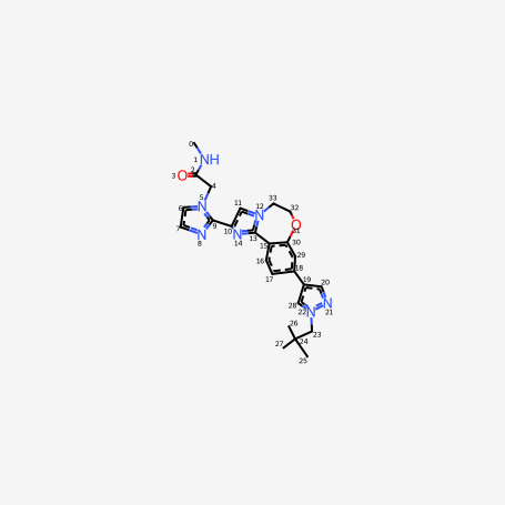 CNC(=O)Cn1ccnc1-c1cn2c(n1)-c1ccc(-c3cnn(CC(C)(C)C)c3)cc1OCC2